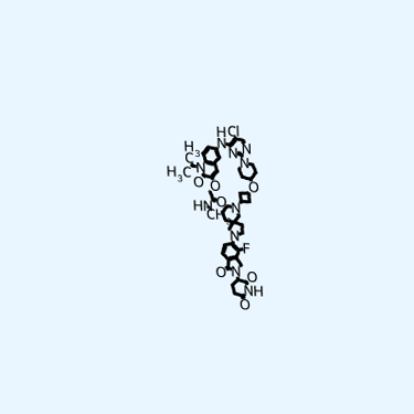 CNC(=O)COc1cc2cc(Nc3nc(N4CCC(OC5CC(N6CCCC7(CCN(c8ccc9c(c8F)CN(C8CCC(=O)NC8=O)C9=O)C7)C6)C5)CC4)ncc3Cl)ccc2n(C(C)C)c1=O